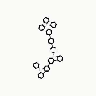 c1ccc(-n2c3ccccc3c3ccc(-c4ccc5c(c4)c4ccccc4n5-c4ncc(-c5ccc(-c6ccc([Si](c7ccccc7)(c7ccccc7)c7ccccc7)cc6)cc5)cn4)cc32)cc1